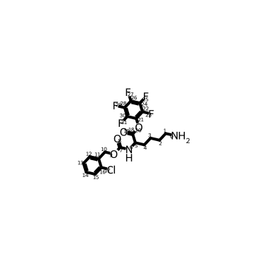 NCCCCC(NC(=O)OCc1ccccc1Cl)C(=O)Oc1c(F)c(F)c(F)c(F)c1F